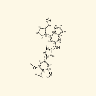 COc1cc(-n2cnc(Nc3nc(N4CCCC4CO)c4ncsc4n3)c2)cc(OC)c1OC